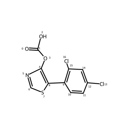 O=C(O)Oc1ncsc1-c1ccc(Cl)cc1Cl